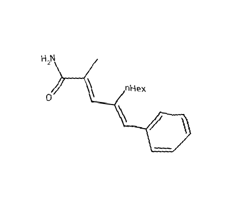 CCCCCCC(=C\c1ccccc1)/C=C(\C)C(N)=O